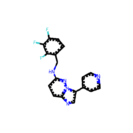 Fc1ccc(CNc2ccc3ncc(-c4ccncc4)n3n2)c(F)c1F